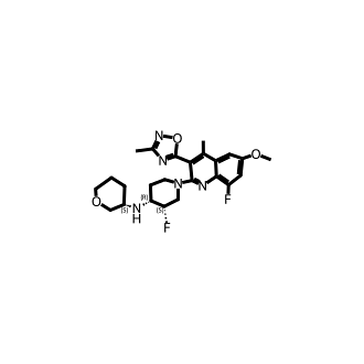 COc1cc(F)c2nc(N3CC[C@@H](N[C@H]4CCCOC4)[C@@H](F)C3)c(-c3nc(C)no3)c(C)c2c1